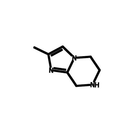 Cc1cn2c(n1)CNCC2